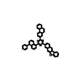 c1ccc(-c2cccc3c(-c4nc(-c5ccc6cc7c(cc6c5)oc5ccccc57)nc(-c5ccc6c(ccc7ccccc76)c5)n4)cccc23)cc1